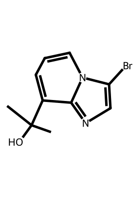 CC(C)(O)c1cccn2c(Br)cnc12